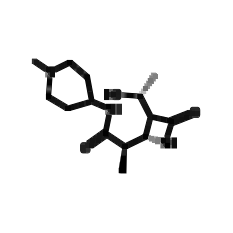 C[C@@H](O)C1C(=O)N[C@@H]1[C@@H](C)C(=O)NC1CCN(C)CC1